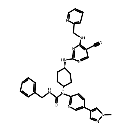 Cn1cc(-c2ccc(N(C(=O)NCc3ccccc3)[C@H]3CC[C@H](Nc4ncc(C#N)c(NCc5ccccn5)n4)CC3)nc2)cn1